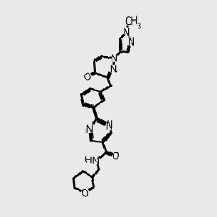 Cn1cc(-n2ccc(=O)c(Cc3cccc(-c4ncc(C(=O)NCC5CCCOC5)cn4)c3)n2)cn1